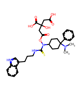 CN(C)C1(c2ccccc2)CCC(N(OC(=O)CC(O)(CC(=O)O)C(=O)O)C(=S)NCCCc2c[nH]c3ccccc23)CC1